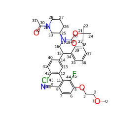 COCCOc1ccc(C#N)c(-c2cc(C(CN(C(=O)OC(C)(C)C)[C@@H]3CCCN(C(C)=O)C3)c3ccccc3)ccc2Cl)c1F